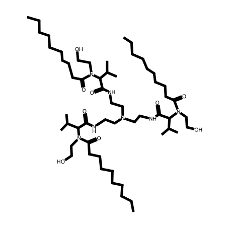 CCCCCCCCCC(=O)N(CCO)C(C(=O)NCCN(CCNC(=O)C(C(C)C)N(CCO)C(=O)CCCCCCCCC)CCNC(=O)C(C(C)C)N(CCO)C(=O)CCCCCCCCC)C(C)C